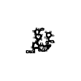 COc1ccc(-c2ccc3c(c2)CCC3=O)c(OCC2(OC(=O)C3CCCC3)CC2)c1OC